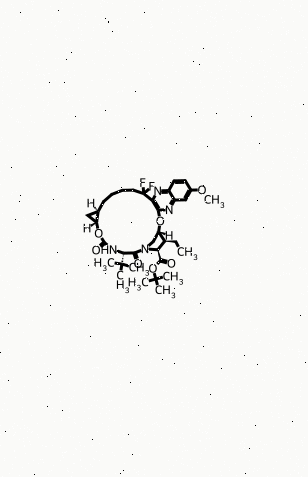 CC[C@@H]1[C@@H]2CN(C(=O)[C@H](C(C)(C)C)NC(=O)O[C@@H]3C[C@H]3CCCCC(F)(F)c3nc4ccc(OC)cc4nc3O2)[C@@H]1C(=O)OC(C)(C)C